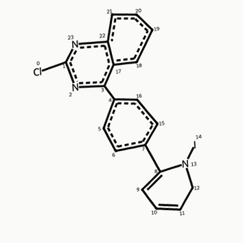 Clc1nc(-c2ccc(C3=CC=CCN3I)cc2)c2ccccc2n1